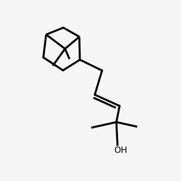 CC(C)(O)C=CCC1CCC2CC1C2(C)C